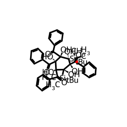 CC(C)(C)[Si](C)(C)[C@@]1(O)[C@](O)(C(=O)c2ccccc2)[C@](O)([Si](C)(C)C(C)(C)C)[C@](O)(C(=O)c2ccccc2)[C@@](O)(C(=O)c2ccccc2)[C@]1(O)C(=O)c1ccccc1